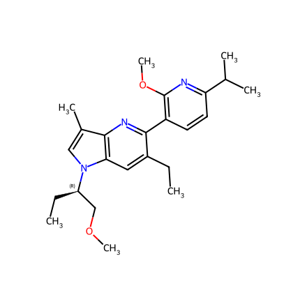 CCc1cc2c(nc1-c1ccc(C(C)C)nc1OC)c(C)cn2[C@H](CC)COC